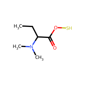 CCC(C(=O)OS)N(C)C